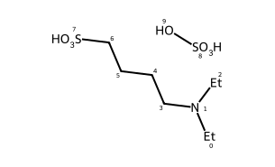 CCN(CC)CCCCS(=O)(=O)O.O=S(=O)(O)O